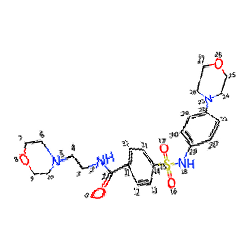 O=C(NCCN1CCOCC1)c1ccc(S(=O)(=O)Nc2ccc(N3CCOCC3)cc2)cc1